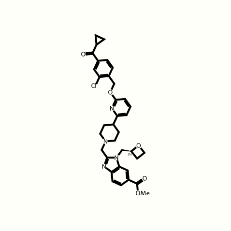 COC(=O)c1ccc2nc(CN3CCC(c4cccc(OCc5ccc(C(=O)C6CC6)cc5Cl)n4)CC3)n(C[C@@H]3CCO3)c2c1